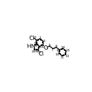 Clc1ccc(OC[CH]Cc2ccccc2)c2c(Cl)c[nH]c12